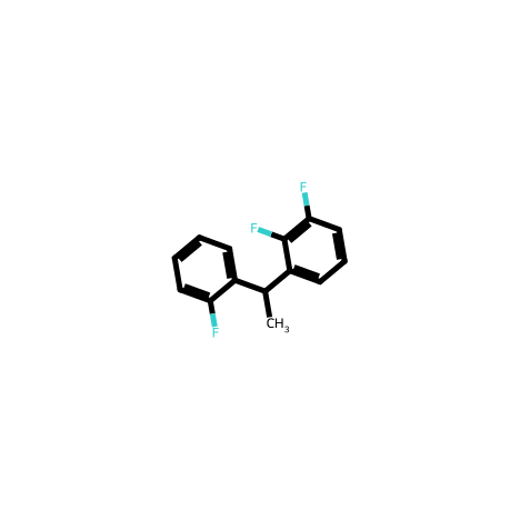 C[C](c1ccccc1F)c1cccc(F)c1F